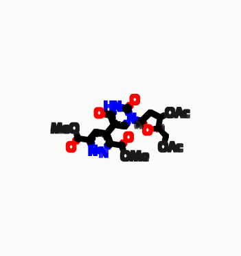 COC(=O)c1cc(-c2cn([C@H]3CC(OC(C)=O)[C@@H](COC(C)=O)O3)c(=O)[nH]c2=O)c(C(=O)OC)nn1